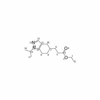 CCOC(=O)CCC1CCc2c(cnn2C(C)C)C1